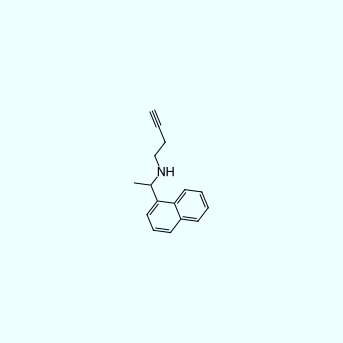 C#CCCNC(C)c1cccc2ccccc12